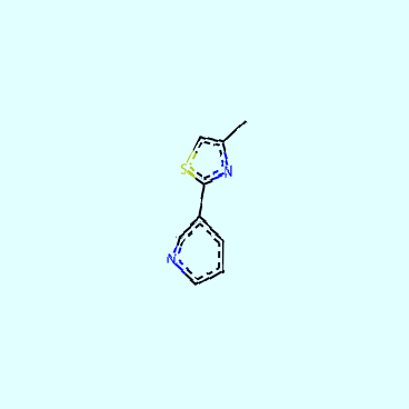 Cc1csc(-c2[c]nccc2)n1